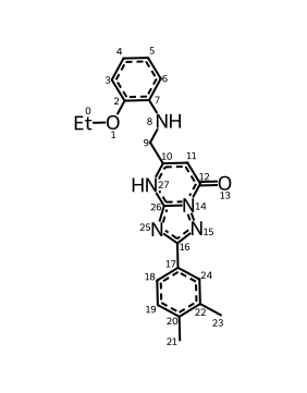 CCOc1ccccc1NCc1cc(=O)n2nc(-c3ccc(C)c(C)c3)nc2[nH]1